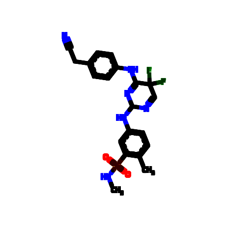 CNS(=O)(=O)c1cc(NC2N=CC(F)(F)C(Nc3ccc(CC#N)cc3)=N2)ccc1C